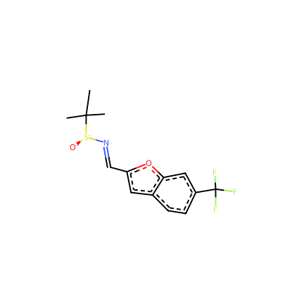 CC(C)(C)[S@+]([O-])N=Cc1cc2ccc(C(F)(F)F)cc2o1